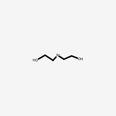 OCC[N+]CCO